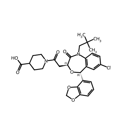 CC(C)(C)CN1C(=O)[C@H](CC(=O)N2CCC(C(=O)O)CC2)O[C@@H](c2cccc3c2OCO3)c2cc(Cl)ccc21